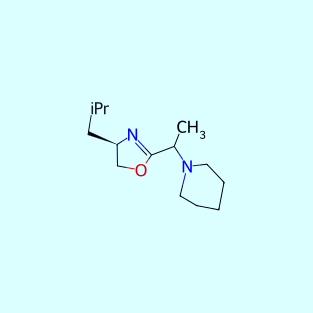 CC(C)C[C@@H]1COC(C(C)N2CCCCC2)=N1